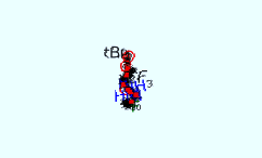 CC(C)(C)OCCOc1ccc(C(F)(F)F)c(-c2ccnc(NC(=O)c3nnc(Cc4ccccc4F)[nH]3)c2)c1